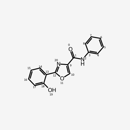 O=C(Nc1ccccc1)c1coc(-c2ccccc2O)n1